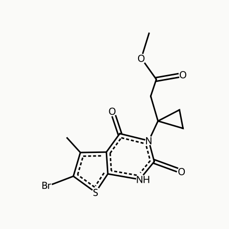 COC(=O)CC1(n2c(=O)[nH]c3sc(Br)c(C)c3c2=O)CC1